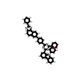 c1ccc(-c2nc(-c3ccc(-c4ccc5c(ccc6nc(-c7ccccc7)sc65)c4)cc3)nc(-c3cccc4c5ccccc5n(-c5ccccc5)c34)n2)cc1